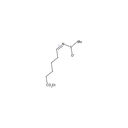 CCOC(=O)CCCC/C=N\[S+]([O-])C(C)(C)C